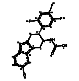 O=C(O)N[C@H]1Cn2c(nc3cnc(Cl)cc32)C[C@@H]1c1cc(F)c(F)cc1F